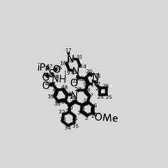 COc1ccc2c(c1)C=C(c1c(C(=O)N3CCN(C)CC3)cnn1C1CCC1)Cn1c-2c(C2CCCCC2)c2ccc(C(=O)NS(=O)(=O)C(C)C)cc21